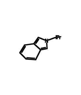 CC(C)n1cc2ccccc2c1